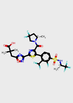 C[C@H](NS(=O)(=O)c1ccc(-c2sc(-c3noc(CC(C)(C)C(=O)O)n3)nc2C(=O)N2CC(F)(F)C[C@@H]2C)c(C(F)F)c1F)C(F)(F)F